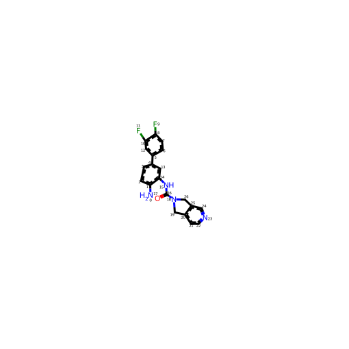 Nc1ccc(-c2ccc(F)c(F)c2)cc1NC(=O)N1Cc2ccncc2C1